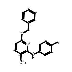 Cc1ccc(Nc2nc(OCc3ccccc3)ccc2N)cc1